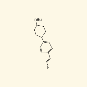 CCCCC1CCC(c2ccc(C=CF)cc2)CC1